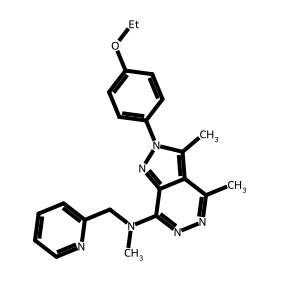 CCOc1ccc(-n2nc3c(N(C)Cc4ccccn4)nnc(C)c3c2C)cc1